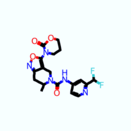 CC1Cc2noc(N3CCCOC3=O)c2CN1C(=O)Nc1ccnc(C(F)F)c1